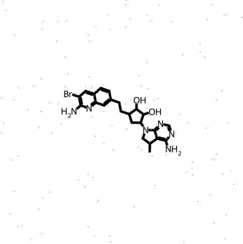 CC1CN(C2CC(CCc3ccc4cc(Br)c(N)nc4c3)C(O)C2O)c2ncnc(N)c21